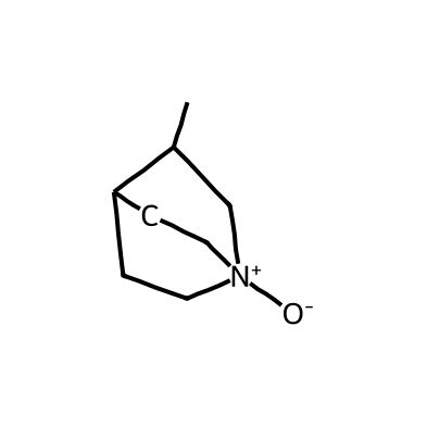 CC1C[N+]2([O-])CCC1CC2